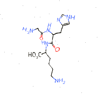 NCCCCC(NC(=O)C(Cc1c[nH]cn1)NC(=O)CN)C(=O)O